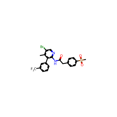 Cc1c(Br)cnc(NC(=O)Cc2ccc(S(C)(=O)=O)cc2)c1-c1cccc(C(F)(F)F)c1